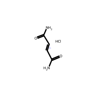 Cl.NC(=O)/C=C/C(N)=O